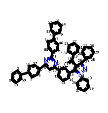 c1ccc(-c2ccc(-c3cc(-c4cccc5c4cc(-c4ccccc4)c4c(-c6ccccc6)nn(-c6ccccc6)c45)nc(-c4ccc(-c5ccccc5)cc4)n3)cc2)cc1